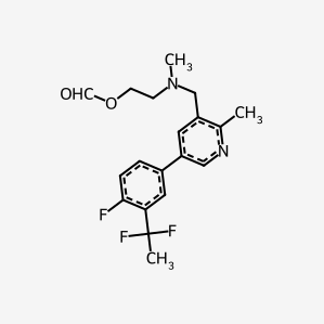 Cc1ncc(-c2ccc(F)c(C(C)(F)F)c2)cc1CN(C)CCOC=O